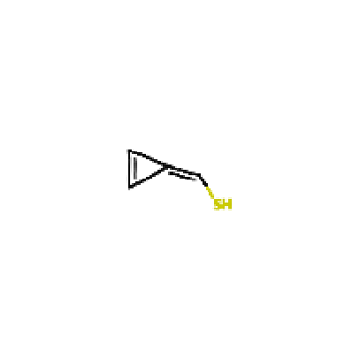 SC=C1C=C1